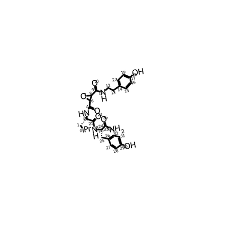 CC(C)C[C@H](NC(=O)C1OC1C(=O)NCCc1ccc(O)cc1)C(=O)N[C@@H](Cc1ccc(O)cc1)C(N)=O